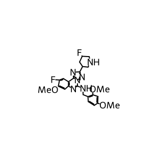 COc1ccc(CNc2nc3cc(OC)c(F)cc3c3nc(C4CNCC(F)C4)nn23)c(OC)c1